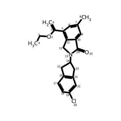 C=C(OCC)c1cc(C)cc2c1CN(C1Cc3ccc(Cl)cc3C1)C2=O